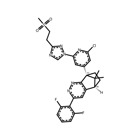 CC1(C)[C@H]2CC[C@]1(c1cc(Cl)nc(-n3cnc(CCS(C)(=O)=O)n3)c1)c1nnc(-c3c(F)cccc3F)cc12